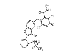 CCNC(=O)c1c(Cl)c(=O)nc(CC)n1Cc1ccc2oc(-c3ccccc3NS(=O)(=O)C(F)(F)F)c(Br)c2c1